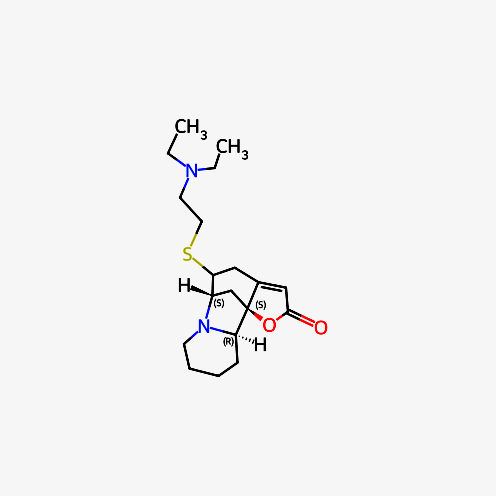 CCN(CC)CCSC1CC2=CC(=O)O[C@@]23C[C@@H]1N1CCCC[C@@H]13